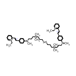 CC[n+]1ccccc1/C=C/c1ccc(N(C)CCC[N+](C)(C)CCCSSCCC[N+](C)(C)CCCN(C)c2ccc(/C=C/c3cccc[n+]3CC)cc2)cc1